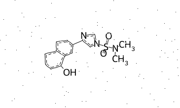 CN(C)S(=O)(=O)n1cnc(-c2ccc3cccc(O)c3c2)c1